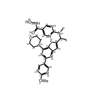 COc1ncc(-c2nc(N3CCOCC3)c3sc(C(C)N(C)c4ncc(C(=O)NO)cn4)cc3n2)cn1